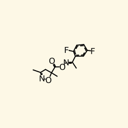 CC1=NOC(C)(C(=O)O/N=C(\C)c2cc(F)ccc2F)C1